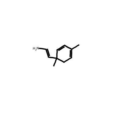 CC1=CCC(C)(C=CN)C=C1